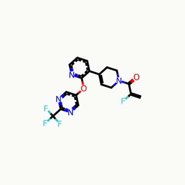 C=C(F)C(=O)N1CC=C(c2cccnc2Oc2cnc(C(F)(F)F)nc2)CC1